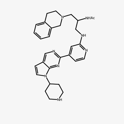 CC(=O)NC(CNc1cc(-c2ncc3ccn(C4CCNCC4)c3n2)ccn1)CN1CCc2ccccc2C1